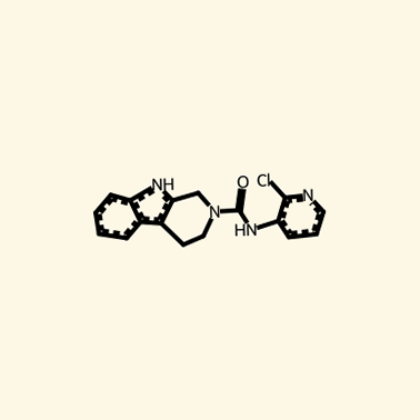 O=C(Nc1cccnc1Cl)N1CCc2c([nH]c3ccccc23)C1